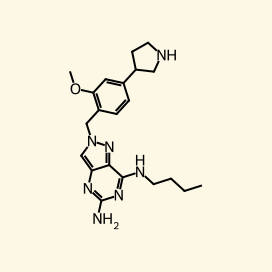 CCCCNc1nc(N)nc2cn(Cc3ccc(C4CCNC4)cc3OC)nc12